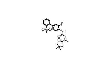 CN(CC(=O)Nc1ccc(-c2ccccc2S(C)(=O)=O)cc1F)C(=O)OC(C)(C)C